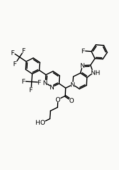 O=C(OCCCO)C(c1ccc(-c2ccc(C(F)(F)F)cc2C(F)(F)F)nn1)N1C=Cc2[nH]c(-c3ccccc3F)nc2C1